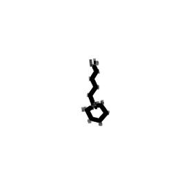 [Li][CH2]CCCN1CCCCC1